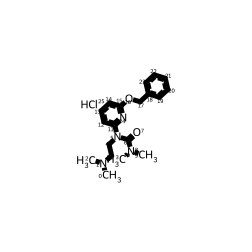 CN(C)CCN(C(=O)N(C)C)c1cccc(OCc2ccccc2)n1.Cl